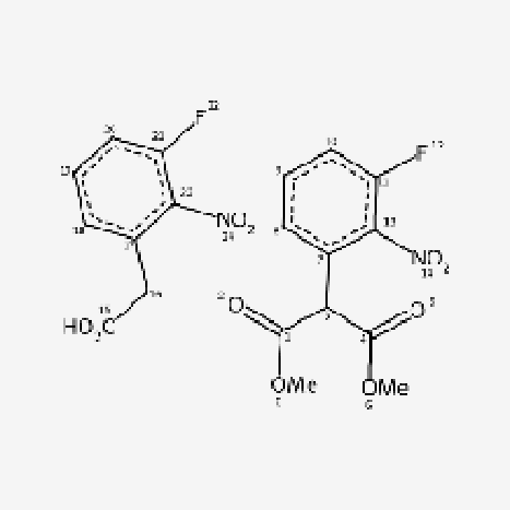 COC(=O)C(C(=O)OC)c1cccc(F)c1[N+](=O)[O-].O=C(O)Cc1cccc(F)c1[N+](=O)[O-]